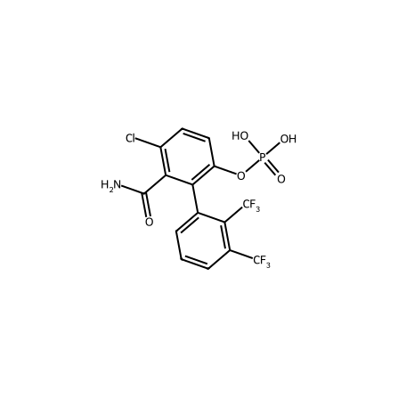 NC(=O)c1c(Cl)ccc(OP(=O)(O)O)c1-c1cccc(C(F)(F)F)c1C(F)(F)F